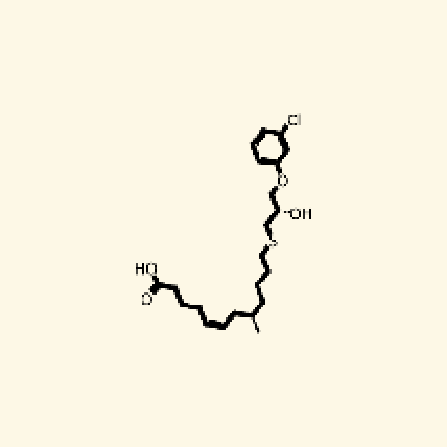 C[C@@H](C/C=C\CCCC(=O)O)CCCCSC[C@@H](O)COc1cccc(Cl)c1